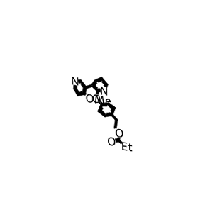 CCC(=O)OCCc1ccc(Oc2ncccc2-c2cnccc2OC)cc1